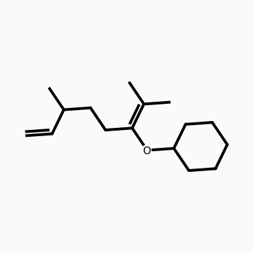 C=CC(C)CCC(OC1CCCCC1)=C(C)C